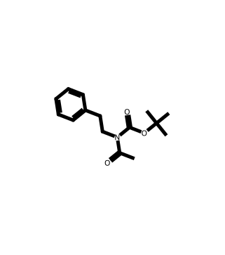 CC(=O)N(CCc1ccccc1)C(=O)OC(C)(C)C